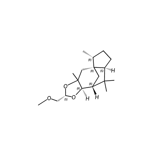 COC[C@H]1O[C@@H]2[C@@H]3C[C@@]4(CC2(C)O1)[C@H](C)CC[C@H]4C3(C)C